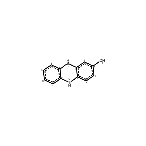 Oc1ccc2c(c1)Bc1ccccc1B2